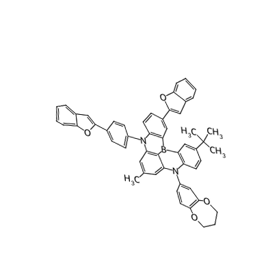 Cc1cc2c3c(c1)N(c1ccc4c(c1)OCCCO4)c1ccc(C(C)(C)C)cc1B3c1cc(-c3cc4ccccc4o3)ccc1N2c1ccc(-c2cc3ccccc3o2)cc1